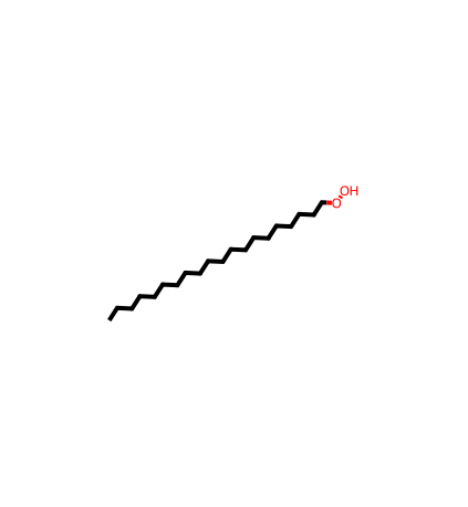 CCCCCCCCCCCCCCCCCCCCOO